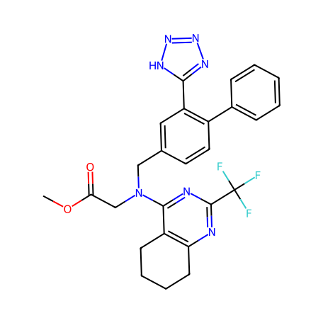 COC(=O)CN(Cc1ccc(-c2ccccc2)c(-c2nnn[nH]2)c1)c1nc(C(F)(F)F)nc2c1CCCC2